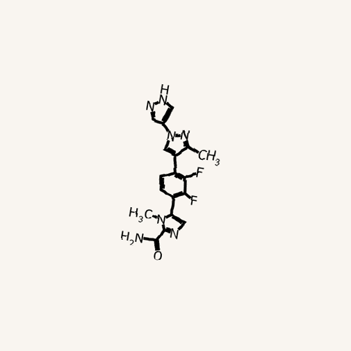 Cc1nn(-c2cn[nH]c2)cc1-c1ccc(-c2cnc(C(N)=O)n2C)c(F)c1F